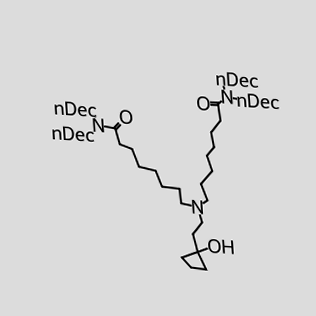 CCCCCCCCCCN(CCCCCCCCCC)C(=O)CCCCCCCN(CCCCCCCC(=O)N(CCCCCCCCCC)CCCCCCCCCC)CCC1(O)CCC1